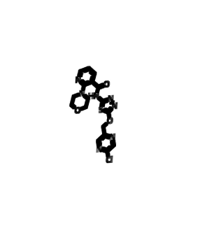 O=C(Nc1nnc(OCc2cnc(Cl)cn2)s1)c1cccnc1N1CCOCC1